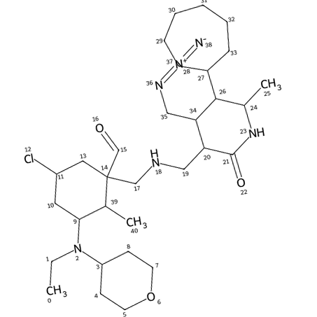 CCN(C1CCOCC1)C1CC(Cl)CC(C=O)(CNCC2C(=O)NC(C)C(C3CCCCCC3)C2CN=[N+]=[N-])C1C